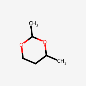 CC1CCOC(C)O1